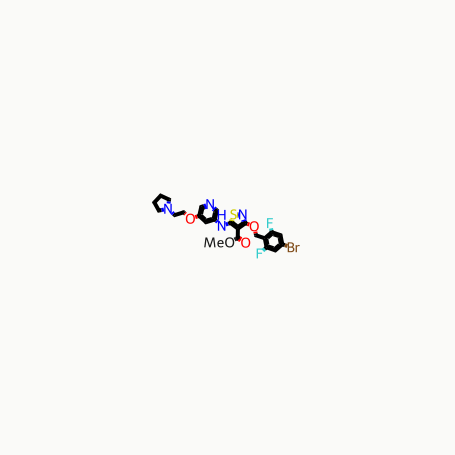 COC(=O)c1c(OCc2c(F)cc(Br)cc2F)nsc1Nc1cncc(OCCN2CCCC2)c1